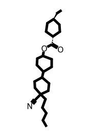 CCCCCC1(C#N)CCC(C2CCC(OC(=O)[C@H]3CC[C@H](CC)CC3)CC2)CC1